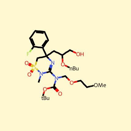 CCCCOC(CO)CC1(c2ccccc2F)CS(=O)(=O)N(C)C(N(COCCOC)C(=O)OC(C)(C)C)=N1